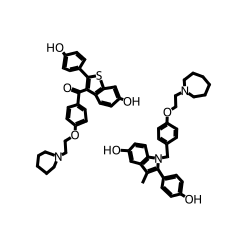 Cc1c(-c2ccc(O)cc2)n(Cc2ccc(OCCN3CCCCCC3)cc2)c2ccc(O)cc12.O=C(c1ccc(OCCN2CCCCC2)cc1)c1c(-c2ccc(O)cc2)sc2cc(O)ccc12